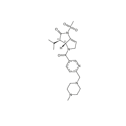 CC(C)[C@H]1C(=O)N(S(C)(=O)=O)C2=CCN(C(=O)c3ccc(CN4CCN(C)CC4)nc3)[C@@H]21